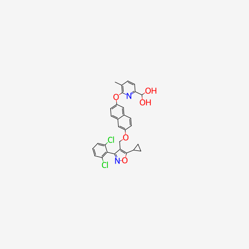 Cc1ccc(C(O)O)nc1Oc1ccc2cc(OCc3c(-c4c(Cl)cccc4Cl)noc3C3CC3)ccc2c1